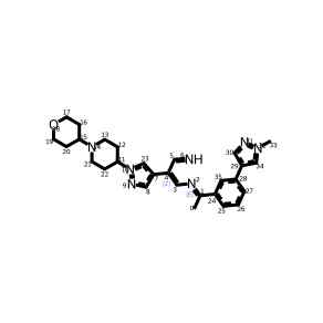 C/C(=N\C=C(/C=N)c1cnn(C2CCN(C3CCOCC3)CC2)c1)c1cccc(-c2cnn(C)c2)c1